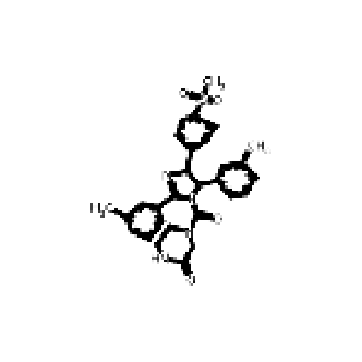 Cc1cccc(C2=NC(c3ccc(S(C)(=O)=O)cc3)C(c3cccc(C)c3)N2C(=O)N2CCNC(=O)C2)c1